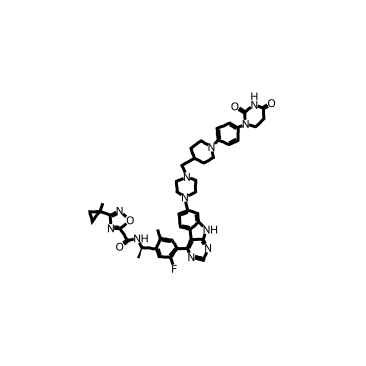 Cc1cc(-c2ncnc3[nH]c4cc(N5CCN(CC6CCN(c7ccc(N8CCC(=O)NC8=O)cc7)CC6)CC5)ccc4c23)c(F)cc1[C@@H](C)NC(=O)c1nc(C2(C)CC2)no1